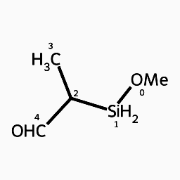 CO[SiH2]C(C)C=O